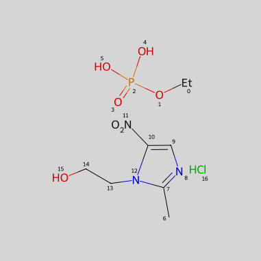 CCOP(=O)(O)O.Cc1ncc([N+](=O)[O-])n1CCO.Cl